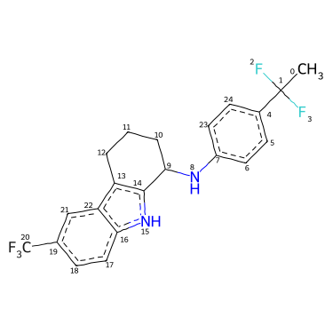 CC(F)(F)c1ccc(NC2CCCc3c2[nH]c2ccc(C(F)(F)F)cc32)cc1